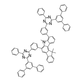 Cn1c2c(-c3cccc(-c4nc(-c5ccccc5)nc(-c5cc(-c6ccccc6)cc(-c6ccccc6)c5)n4)c3)cccc2c2c3c(cc(-c4cccc(-c5nc(-c6ccccc6)nc(-c6cc(-c7ccccc7)cc(-c7ccccc7)c6)n5)c4)c21)-c1ccccc1C3(C)C